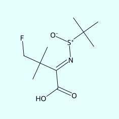 CC(C)(CF)/C(=N\[S+]([O-])C(C)(C)C)C(=O)O